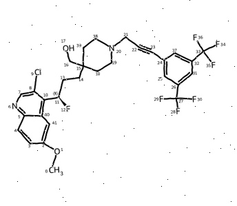 COc1ccc2ncc(Cl)c([C@H](F)CCC3(CO)CCN(CC#Cc4cc(C(F)(F)F)cc(C(F)(F)F)c4)CC3)c2c1